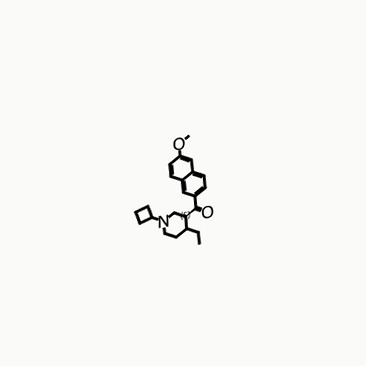 CCC1CCN(C2CCC2)C[C@H]1C(=O)c1ccc2cc(OC)ccc2c1